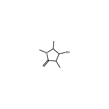 C=C1C(C)C(S)C(C)N1C